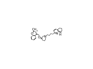 CC(=O)C[C@@H](CO[C@@H]1CCCN(CCCCc2ccc3c(n2)NCCC3)C1)c1ccccc1